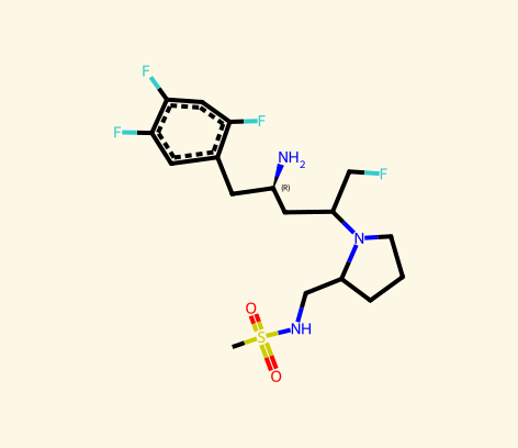 CS(=O)(=O)NCC1CCCN1C(CF)C[C@H](N)Cc1cc(F)c(F)cc1F